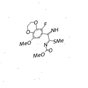 COC(=O)N=C(SC)C(=N)c1cc(OC)c2c(c1F)OCCO2